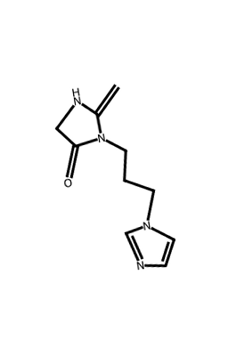 C=C1NCC(=O)N1CCCn1ccnc1